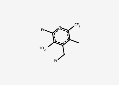 CCc1nc(C(F)(F)F)c(C)c(CC(C)C)c1C(=O)O